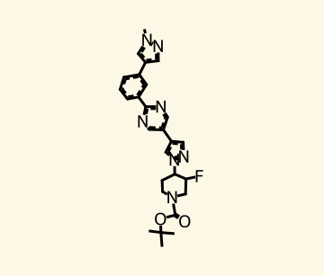 Cn1cc(-c2cccc(-c3ncc(-c4cnn(C5CCN(C(=O)OC(C)(C)C)CC5F)c4)cn3)c2)cn1